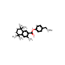 COCc1ccc(OC(=O)c2cc3c(cc2C)C(C)(C)CCC3(C)C)cc1